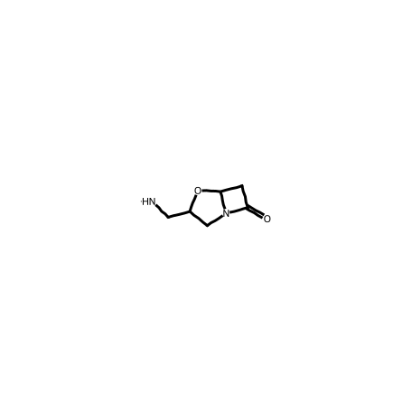 [NH]CC1CN2C(=O)CC2O1